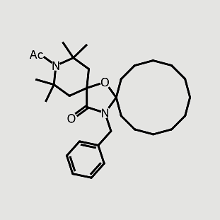 CC(=O)N1C(C)(C)CC2(CC1(C)C)OC1(CCCCCCCCCCC1)N(Cc1ccccc1)C2=O